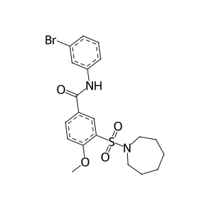 COc1ccc(C(=O)Nc2cccc(Br)c2)cc1S(=O)(=O)N1CCCCCC1